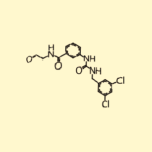 O=C[CH]NC(=O)c1cccc(NC(=O)NCc2cc(Cl)cc(Cl)c2)c1